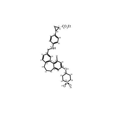 CCOC(=O)[C@H]1C[C@@H]1c1ccc(NCc2ccc3c(c2)-c2c(C)cc(OC4CCS(=O)(=O)CC4)cc2CCC3)cc1